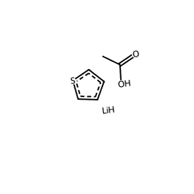 CC(=O)O.[LiH].c1ccsc1